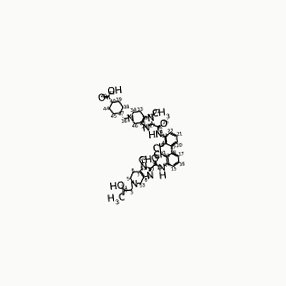 C[C@@H](O)CN1CCc2c(nc(C(=O)Nc3cccc(-c4cccc(NC(=O)c5nc6c(n5C)CCN(C[C@H]5CC[C@@H](C(=O)O)CC5)C6)c4Cl)c3Cl)n2C)C1